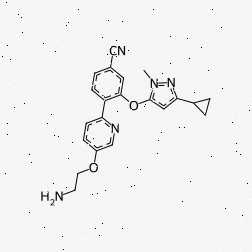 Cn1nc(C2CC2)cc1Oc1cc(C#N)ccc1-c1ccc(OCCN)cn1